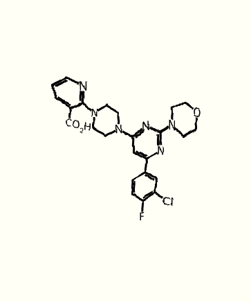 O=C(O)c1cccnc1N1CCN(c2cc(-c3ccc(F)c(Cl)c3)nc(N3CCOCC3)n2)CC1